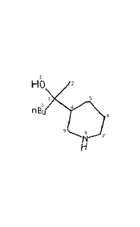 CCCCC(C)(O)C1CCCNC1